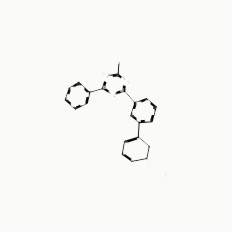 C[C@H]1C=CC=C(c2cccc(-c3nc(Cl)nc(-c4ccccc4)n3)c2)C1